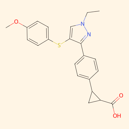 CCn1cc(Sc2ccc(OC)cc2)c(-c2ccc(C3CC3C(=O)O)cc2)n1